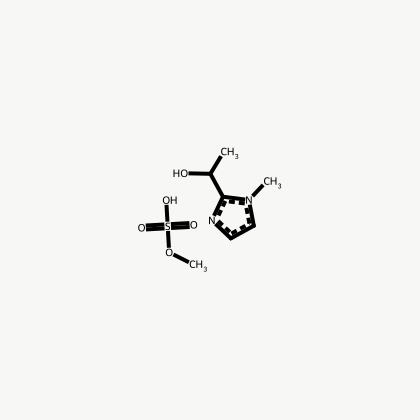 CC(O)c1nccn1C.COS(=O)(=O)O